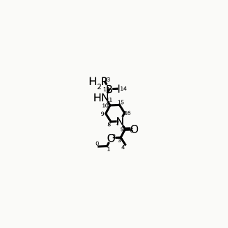 CCOC(C)C(=O)N1CCC(NB(P)I)CC1